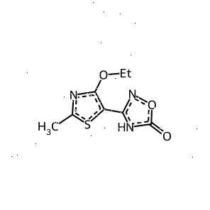 CCOc1nc(C)sc1-c1noc(=O)[nH]1